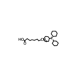 C1CCC(P(C2CCCCC2)C2CCCCC2)CC1.CCCCCCCC(=O)O